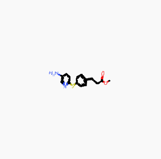 COC(=O)CCc1ccc(Sc2ccc(N)cn2)cc1